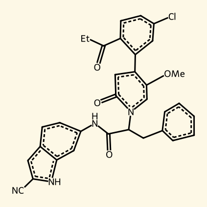 CCC(=O)c1ccc(Cl)cc1-c1cc(=O)n(C(Cc2ccccc2)C(=O)Nc2ccc3cc(C#N)[nH]c3c2)cc1OC